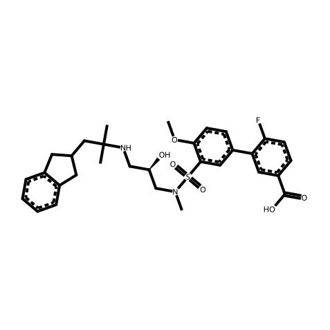 COc1ccc(-c2cc(C(=O)O)ccc2F)cc1S(=O)(=O)N(C)C[C@H](O)CNC(C)(C)CC1Cc2ccccc2C1